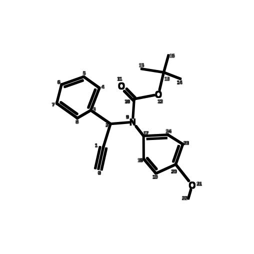 C#CC(c1ccccc1)N(C(=O)OC(C)(C)C)c1ccc(OC)cc1